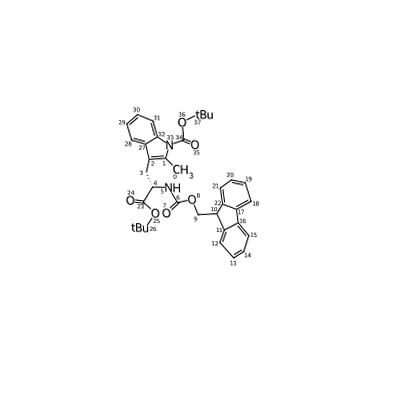 Cc1c(C[C@H](NC(=O)OCC2c3ccccc3-c3ccccc32)C(=O)OC(C)(C)C)c2ccccc2n1C(=O)OC(C)(C)C